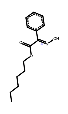 CCCCCCOC(=O)/C(=N/O)c1ccccc1